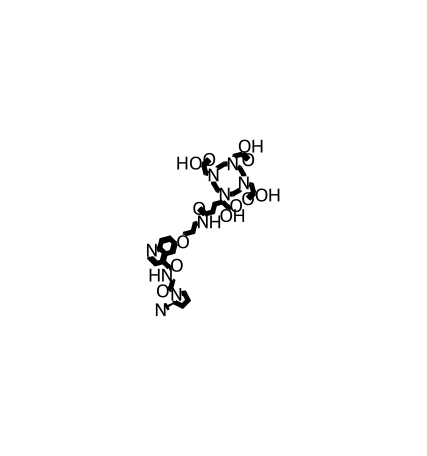 N#C[C@@H]1CCCN1C(=O)CNC(=O)c1ccnc2ccc(OCCCNC(=O)CCC(C(=O)O)N3CCN(CC(=O)O)CCN(CC(=O)O)CCN(CC(=O)O)CC3)cc12